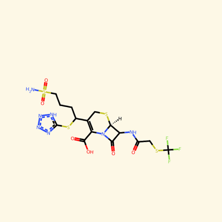 NS(=O)(=O)CCCC(Sc1nnn[nH]1)C1=C(C(=O)O)N2C(=O)C(NC(=O)CSC(F)(F)F)[C@@H]2SC1